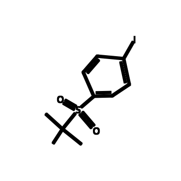 CC(C)(C)S(=O)(=O)c1ccc(I)cc1